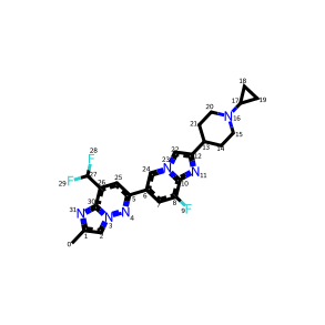 Cc1cn2nc(-c3cc(F)c4nc(C5CCN(C6CC6)CC5)cn4c3)cc(C(F)F)c2n1